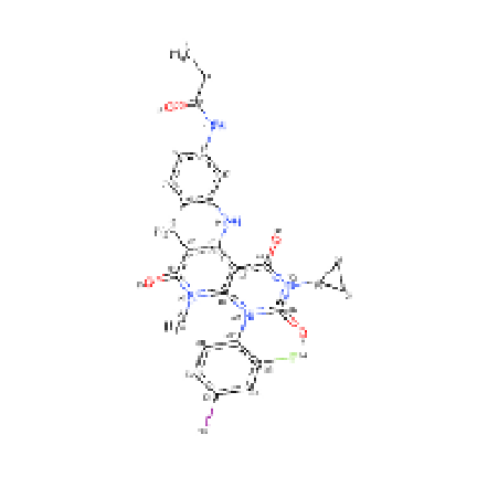 CCC(=O)Nc1cccc(Nc2c(C)c(=O)n(C)c3c2c(=O)n(C2CC2)c(=O)n3-c2ccc(I)cc2F)c1